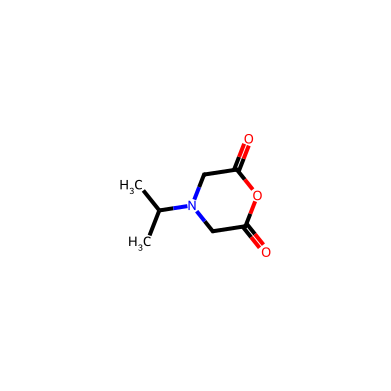 CC(C)N1CC(=O)OC(=O)C1